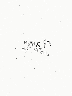 CCC(C)(C)OC(C)[SiH3]